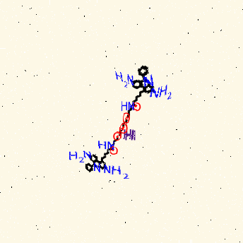 I.I.Nc1cc(CCCCCC(=O)NCCCOCCOCCOCCCNC(=O)CCCCCc2cc(N)cc3nc(-c4ccccc4)c4cc(N)ccc4c23)c2c(c1)nc(-c1ccccc1)c1cc(N)ccc12